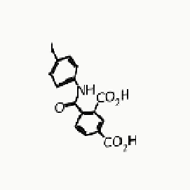 O=C(O)c1ccc(C(=O)Nc2ccc(I)cc2)c(C(=O)O)c1